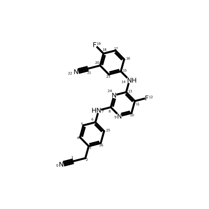 N#CCc1ccc(Nc2ncc(F)c(Nc3ccc(F)c(C#N)c3)n2)cc1